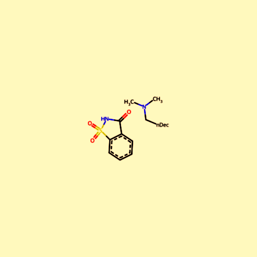 CCCCCCCCCCCN(C)C.O=C1NS(=O)(=O)c2ccccc21